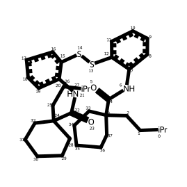 CC(C)CCC1(C(=O)Nc2ccccc2SSc2ccccc2NC(=O)C2(CCC(C)C)CCCCC2)CCCCC1